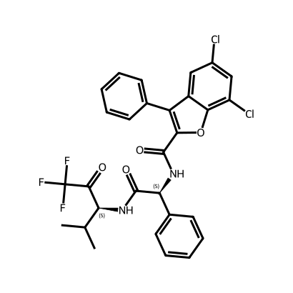 CC(C)[C@H](NC(=O)[C@@H](NC(=O)c1oc2c(Cl)cc(Cl)cc2c1-c1ccccc1)c1ccccc1)C(=O)C(F)(F)F